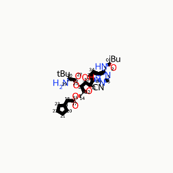 CC[C@H](C)C(=O)Nc1ncnn2c([C@]3(C#N)O[C@H](COC(=O)CC4CCCC4)[C@@H](OC(=O)[C@H](N)C(C)(C)C)[C@H]3O)ccc12